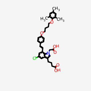 Cc1cc(C)c(OCCCCOc2ccc(C=Cc3cc(Cl)cc4c(CCCC(=O)O)cn(CC(=O)O)c34)cc2)c(C)c1